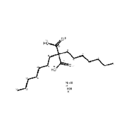 CCCCCCCC(CCCCCCC)(C(=O)O)C(=O)O.[KH].[NaH]